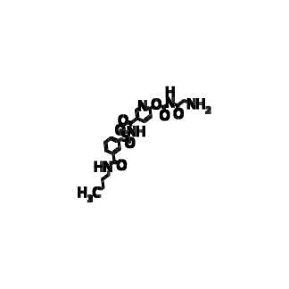 CCCCNC(=O)c1cccc(S(=O)(=O)NC(=O)c2ccc(OC(=O)NC(=O)CN)nc2)c1